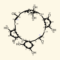 Oc1cc(O)c2c(c1)C/C(Cl)=C\Cc1cc(c(Cl)cc1O)Oc1c(O)cc(cc1O)C/C(Cl)=C\Cc1cc(c(Br)cc1O)O2